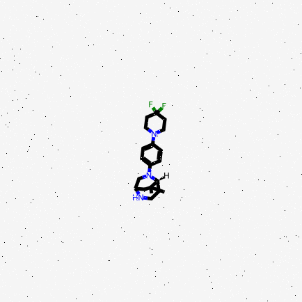 CC1(C)CC2CN(c3ccc(N4CCC(F)(F)CC4)cc3)[C@@H]1CCN2